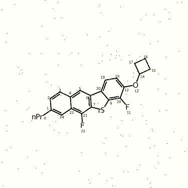 CCCc1ccc2cc3c(sc4c(F)c(OC5CCC5)ccc43)c(F)c2c1